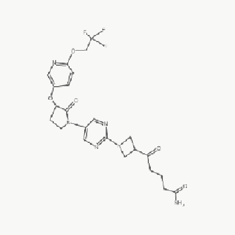 NC(=O)CCCC(=O)C1CN(c2ncc(N3CC[C@@H](Oc4ccc(OCC(F)(F)F)nc4)C3=O)cn2)C1